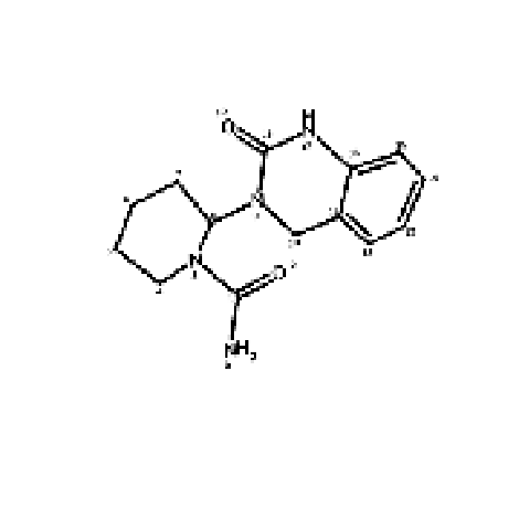 NC(=O)N1CCCCC1N1Cc2ccccc2NC1=O